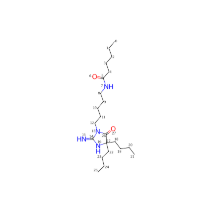 CCCCCC(=O)NCCCCCN1C(=N)NC(CCCC)(CCCC)C1=O